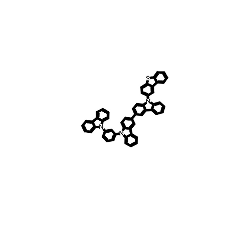 c1cc(-n2c3ccccc3c3ccccc32)cc(-n2c3ccccc3c3cc(-c4ccc5c(c4)c4ccccc4n5-c4ccc5sc6ccccc6c5c4)ccc32)c1